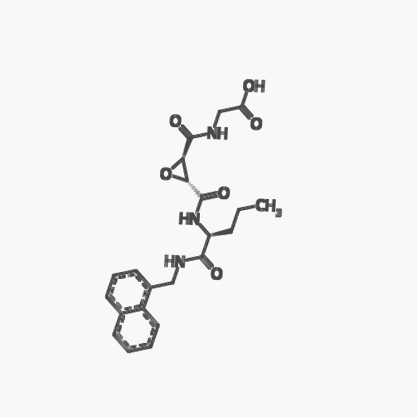 CCC[C@H](NC(=O)[C@@H]1O[C@H]1C(=O)NCC(=O)O)C(=O)NCc1cccc2ccccc12